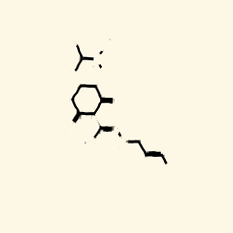 CCCC(=NOCC=CCl)[C@H]1C(=O)C[C@H](CC(C)[S+]([O-])CC)CC1=O